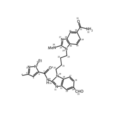 CCn1nc(C)cc1C(=O)Nc1nc2cc(C=O)ccc2n1CCCCn1c(NC)nc2cc(C(N)=O)ccc21